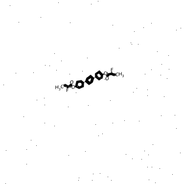 CC[C@@H](F)C(=O)O[C@H]1CC[C@H](c2ccc([C@H]3CC[C@H](OC(=O)[C@H](F)CC)CC3)cc2)CC1